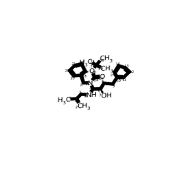 CC(C)CNC([C@H](O)CCc1ccccc1)N(Cc1ccccc1)C(=O)OC(C)(C)C